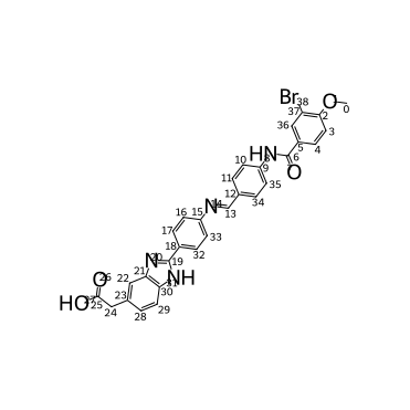 COc1ccc(C(=O)Nc2ccc(C=Nc3ccc(-c4nc5cc(CC(=O)O)ccc5[nH]4)cc3)cc2)cc1Br